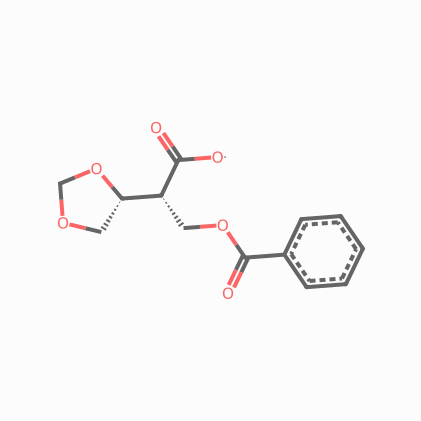 [O]C(=O)[C@H](COC(=O)c1ccccc1)[C@@H]1COCO1